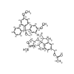 B[C@H]1CC(O[Si](c2ccc(COC(C)=O)cc2)(C(C)C)C(C)C)[C@@H](COC(c2ccccc2)(c2ccc(OC)cc2)c2ccc(OC)cc2)O1